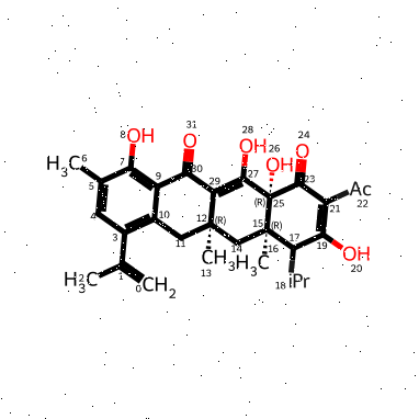 C=C(C)c1cc(C)c(O)c2c1C[C@]1(C)C[C@]3(C)C(C(C)C)C(O)=C(C(C)=O)C(=O)[C@]3(O)C(O)=C1C2=O